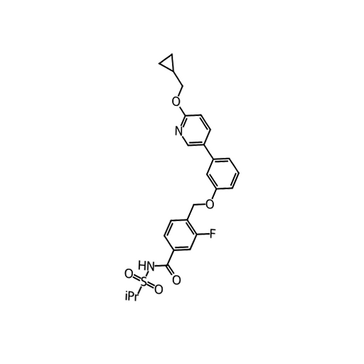 CC(C)S(=O)(=O)NC(=O)c1ccc(COc2cccc(-c3ccc(OCC4CC4)nc3)c2)c(F)c1